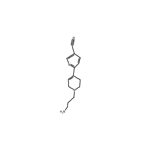 N#Cc1ccc(C2=CCN(CCCN)CC2)nc1